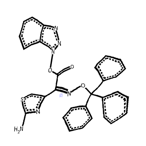 Nc1nc(/C(=N/OC(c2ccccc2)(c2ccccc2)c2ccccc2)C(=O)On2nnc3ccccc32)cs1